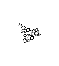 CNC(=O)c1cc(Nc2nc(-c3ccc4c(c3)N([C@H]3C[C@@H](N5CCCCC5)C3)C(=O)C43CCN(C(C)=O)CC3)cc3ncn(C4CC4)c23)ccc1Cl